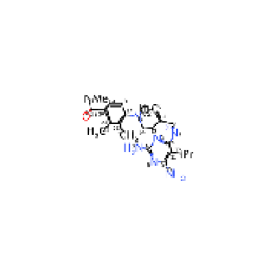 C=C(/C=N\c1nc(N)nc(N)c1C(C)C)CCN(C)c1ccc(C(=O)NC)c(C)c1C